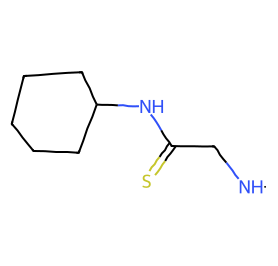 [NH]CC(=S)NC1CCCCC1